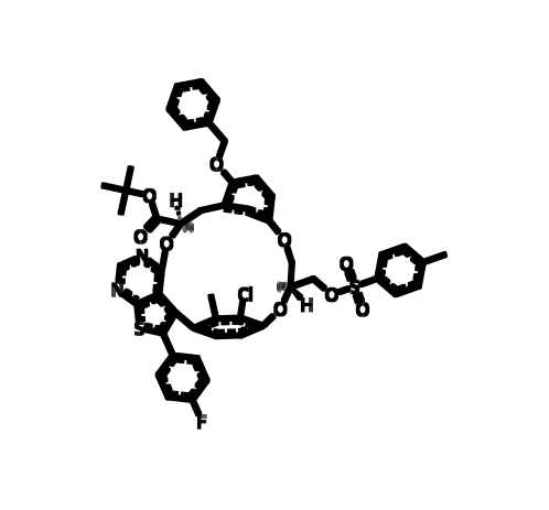 Cc1ccc(S(=O)(=O)OC[C@H]2COc3ccc(OCc4ccccc4)c(c3)C[C@H](C(=O)OC(C)(C)C)Oc3ncnc4sc(-c5ccc(F)cc5)c(c34)-c3ccc(c(Cl)c3C)O2)cc1